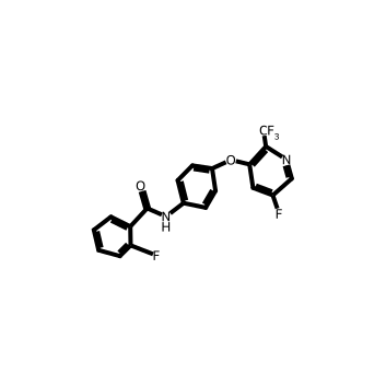 O=C(Nc1ccc(Oc2cc(F)cnc2C(F)(F)F)cc1)c1ccccc1F